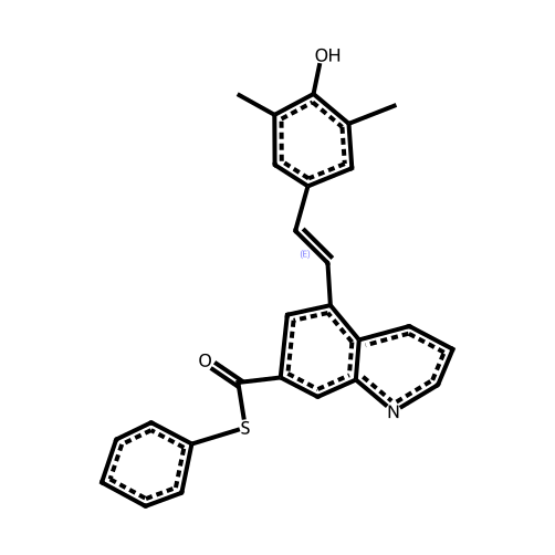 Cc1cc(/C=C/c2cc(C(=O)Sc3ccccc3)cc3ncccc23)cc(C)c1O